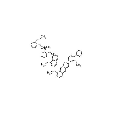 C=Cc1cccc2cc3ccccc3cc12.C=Cc1cccc2ccccc12.C=Cc1ccccc1-c1ccccc1.C=Cc1ccccc1CC.C=Cc1ccccc1CCC